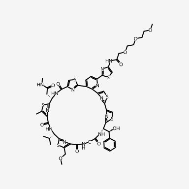 CNC(=O)C[C@@H]1NC(=O)c2csc(n2)-c2ccc(-c3nc(NC(=O)COCCOCCOC)cs3)nc2-c2csc(n2)-c2csc(n2)[C@H]([C@@H](O)c2ccccc2)NC(=O)CNC(=O)c2nc(sc2COC)[C@H](C(C)C)NC(=O)c2nc1sc2C